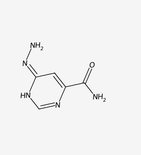 N/N=c1\cc(C(N)=O)nc[nH]1